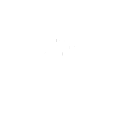 FC(F)C(F)(OCc1ccccc1)C(F)(F)F